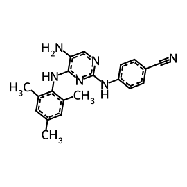 Cc1cc(C)c(Nc2nc(Nc3ccc(C#N)cc3)ncc2N)c(C)c1